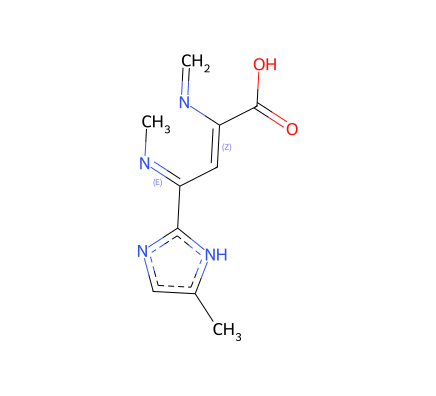 C=N/C(=C\C(=N/C)c1ncc(C)[nH]1)C(=O)O